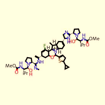 C=C(N/C(=N\C)[C@@H]1CCCN1[C@@H](O)[C@@H](NC(=O)OC)C(C)C)[C@@H]1C=C(F)[C@H]2C(C1)OC(C1=CCC(C3CC3)S1)N1[C@H]3CC=C([C@@H]4CN=C([C@@H]5CCCN5[C@H](O)[C@@H](NC(=O)OC)C(C)C)N4)C[C@H]3C(C)[C@@H]21